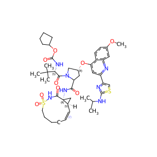 COc1ccc2c(O[C@@H]3CC(C(=O)N[C@]45C[C@H]4/C=C\CCCCS(=O)(=O)NC5=O)N(C(=O)[C@@H](NC(=O)OC4CCCC4)C(C)(C)C)C3)cc(-c3csc(NC(C)C)n3)nc2c1